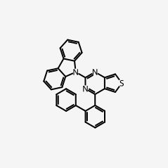 c1ccc(-c2ccccc2-c2nc(-n3c4ccccc4c4ccccc43)nc3cscc23)cc1